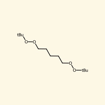 CC(C)(C)OOCCCCCOOC(C)(C)C